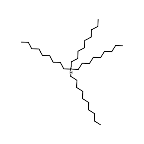 CCCCCCCCCC[PH](CCCCCCCCC)(CCCCCCCCC)CCCCCCCCC